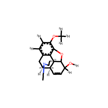 [2H]OC1([2H])C=C[C@H]2[C@H]3Cc4c([2H])c([2H])c(OC([2H])([2H])[2H])c5c4[C@@]2(CCN3C)C1O5